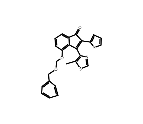 Cc1scnc1C1=C(c2cccs2)C(=O)c2cccc(OCOCc3ccccc3)c21